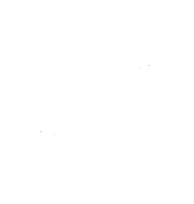 CCCCC[C@H]1CC[C@H](c2ccc(CCc3ccc(NCCCC)cc3)cc2C)CC1